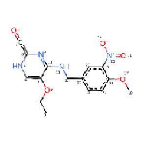 CCOC1=CNC(=C=O)N=C1NCc1ccc(OC)c([N+](=O)[O-])c1